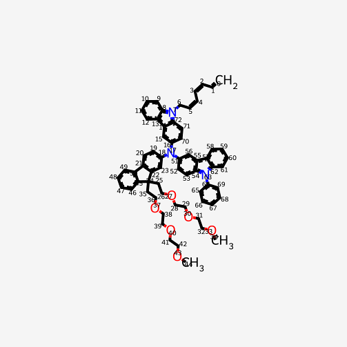 C=C/C=C\C=C/Cn1c2ccccc2c2cc(N(c3ccc4c(c3)C(CCOCCOCCOC)(CCOCCOCCOC)c3ccccc3-4)c3ccc4c(c3)c3ccccc3n4-c3ccccc3)ccc21